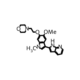 COc1cc2c(-c3cc4cccnc4[nH]3)cn(C)c2cc1OCCN1CCOCC1